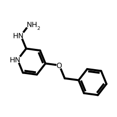 NNC1C=C(OCc2ccccc2)C=CN1